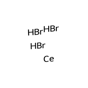 Br.Br.Br.[Ce]